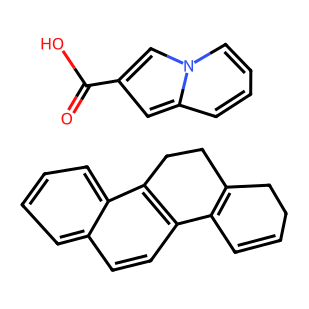 C1=CC2=C(CC1)CCc1c2ccc2ccccc12.O=C(O)c1cc2ccccn2c1